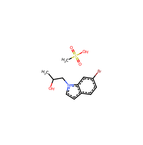 CC(O)Cn1ccc2ccc(Br)cc21.CS(=O)(=O)O